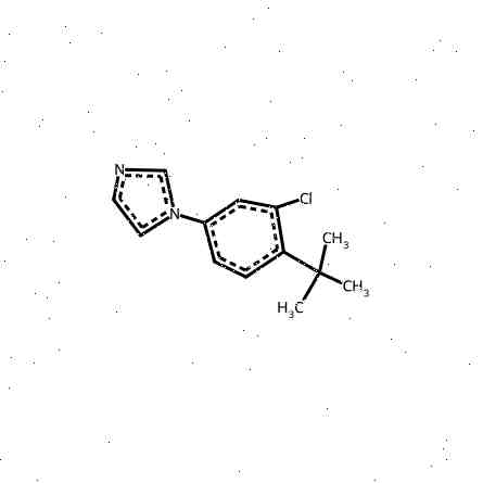 CC(C)(C)c1ccc(-n2ccnc2)cc1Cl